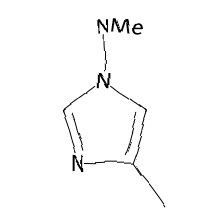 CNn1cnc(C)c1